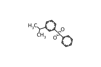 CC(C)c1cccc(S(=O)(=O)c2ccccc2)c1